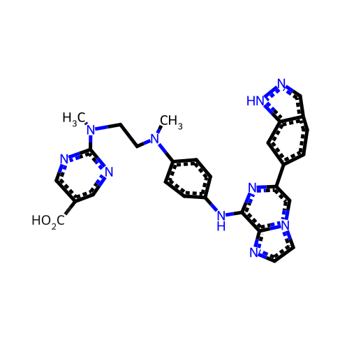 CN(CCN(C)c1ncc(C(=O)O)cn1)c1ccc(Nc2nc(-c3ccc4cn[nH]c4c3)cn3ccnc23)cc1